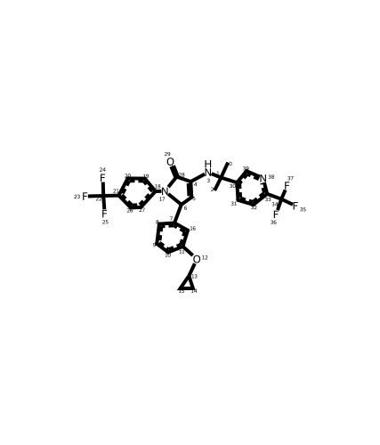 CC(C)(NC1=CC(c2cccc(OC3CC3)c2)N(c2ccc(C(F)(F)F)cc2)C1=O)c1ccc(C(F)(F)F)nc1